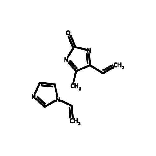 C=CC1=NC(=O)N=C1C.C=Cn1ccnc1